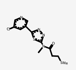 CSCCC(=O)N(C)c1nnc(-c2cncc(Cl)c2)s1